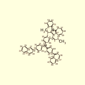 C=Cc1c(/C(=C\CC)c2cccc(N(c3ccc(-c4ccc5ccccc5c4)cc3)c3ccc(-c4cccc5ccccc45)cc3)c2)c2c(n1-c1ccccc1)CC=CC=C2